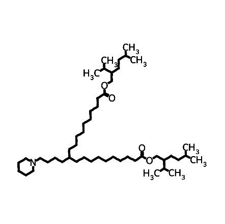 CC(C)CCC(COC(=O)CCCCCCCCCC(CCCCCCCCCC(=O)OCC(CCC(C)C)C(C)C)CCCCN1CCCCC1)C(C)C